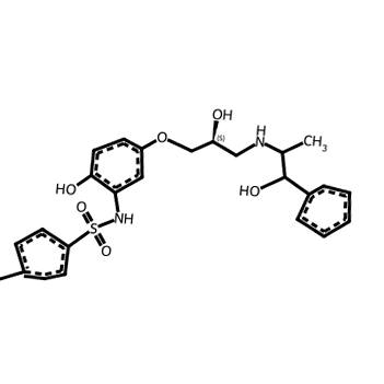 CC(NC[C@H](O)COc1ccc(O)c(NS(=O)(=O)c2ccc(Cl)cc2)c1)C(O)c1ccccc1